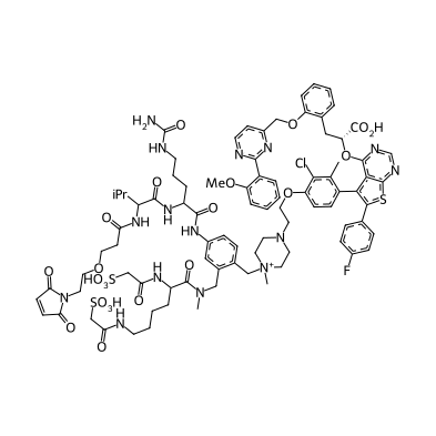 COc1ccccc1-c1nccc(COc2ccccc2C[C@@H](Oc2ncnc3sc(-c4ccc(F)cc4)c(-c4ccc(OCCN5CC[N+](C)(Cc6ccc(NC(=O)C(CCCNC(N)=O)NC(=O)C(NC(=O)CCOCCN7C(=O)C=CC7=O)C(C)C)cc6CN(C)C(=O)C(CCCCNC(=O)CS(=O)(=O)O)NC(=O)CS(=O)(=O)O)CC5)c(Cl)c4C)c23)C(=O)O)n1